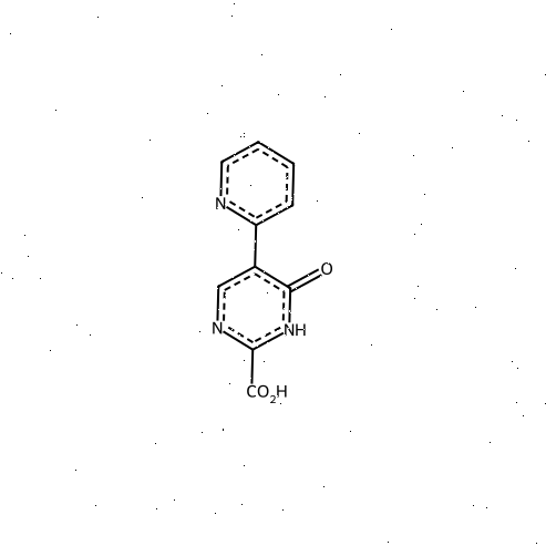 O=C(O)c1ncc(-c2ccccn2)c(=O)[nH]1